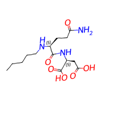 CCCCCN[C@@H](CCC(N)=O)C(=O)N[C@@H](CC(=O)O)C(=O)O